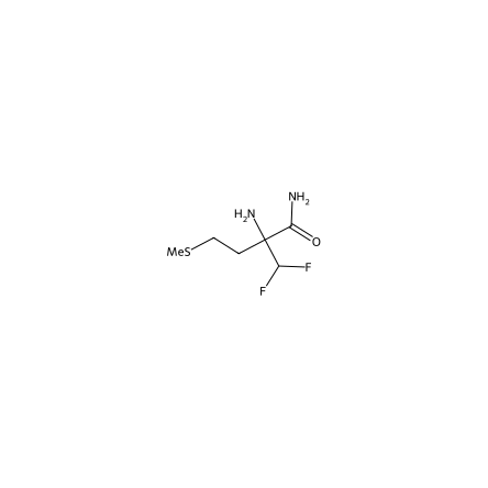 CSCCC(N)(C(N)=O)C(F)F